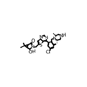 Cc1cc(Cl)cc(-c2ncnc3cc(CN4C(=O)C5C(C4O)C5(C)C)sc23)c1CN1[C@@H](C)CNC[C@@H]1C